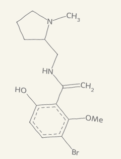 C=C(NCC1CCCN1C)c1c(O)ccc(Br)c1OC